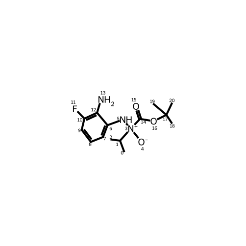 CC(C)[N+]([O-])(Nc1cccc(F)c1N)C(=O)OC(C)(C)C